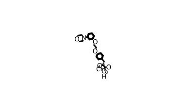 CO[C@@H](Cc1ccc(OCCOc2cccc(N3CCOCC3)c2)cc1)C(=O)O